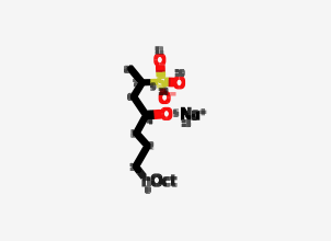 CCCCCCCCCCCC(=O)CC(C)S(=O)(=O)[O-].[Na+]